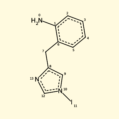 Nc1ccccc1Cc1cn(I)cn1